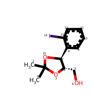 CC1(C)O[C@@H](CO)[C@H](c2ccccc2I)O1